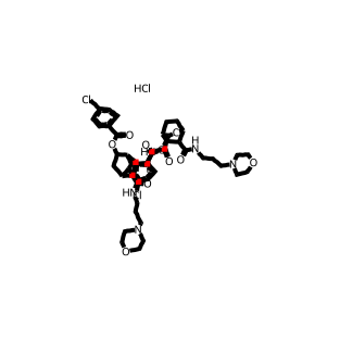 Cl.O=C(OC1CC2CCC1C(C(=O)NC(=O)C1C3CCC(CC3OC(=O)c3ccc(Cl)cc3)C1C(=O)NCCCN1CCOCC1)C2C(=O)NCCCN1CCOCC1)c1ccc(Cl)cc1